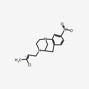 C/C(Cl)=C/CN1CCN2CC1Cc1ccc([N+](=O)[O-])cc12